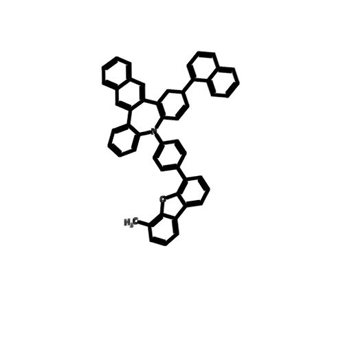 Cc1cccc2c1oc1c(-c3ccc(N4C5=C(CC(c6cccc7ccccc67)C=C5)c5cc6ccccc6cc5-c5ccccc54)cc3)cccc12